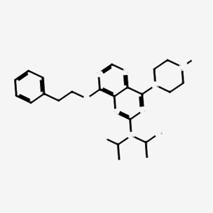 CC(O)N(c1nc(N2CC[S+]([O-])CC2)c2ncnc(SCCc3ccccc3)c2n1)C(C)O